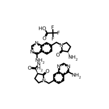 NC(=O)[C@@H]1CCN(Cc2ccc3c(N)ncnc3c2)C1=O.Nc1ncnc2cc(CN3CC[C@H](N)C3=O)ccc12.O=C(O)C(F)(F)F